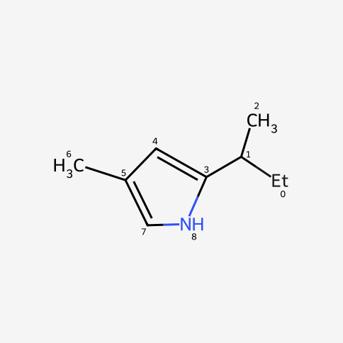 CCC(C)c1cc(C)c[nH]1